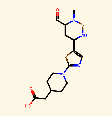 CN1SNC(c2cnc(N3CCC(CC(=O)O)CC3)s2)CC1C=O